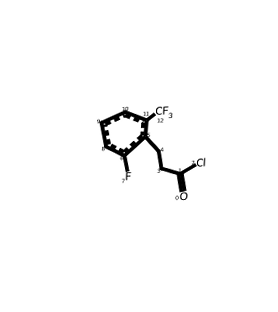 O=C(Cl)CCc1c(F)cccc1C(F)(F)F